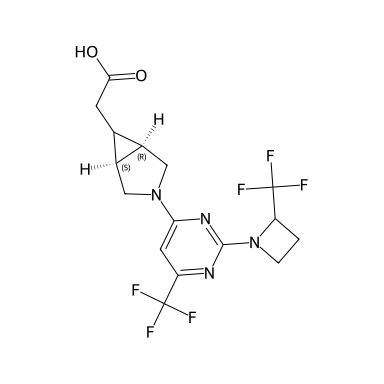 O=C(O)CC1[C@H]2CN(c3cc(C(F)(F)F)nc(N4CCC4C(F)(F)F)n3)C[C@@H]12